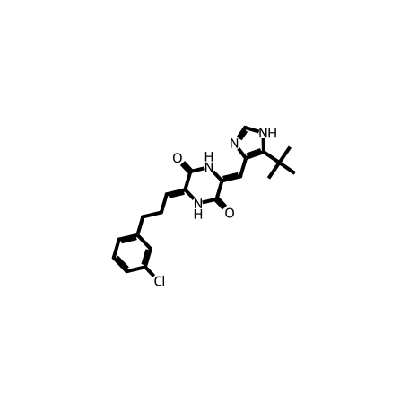 CC(C)(C)c1[nH]cnc1/C=c1\[nH]c(=O)/c(=C/CCc2cccc(Cl)c2)[nH]c1=O